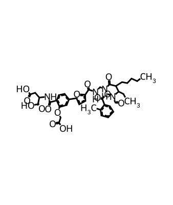 CCCCCC(C(=O)NCNC(=O)c1ccc(-c2ccc(C(=O)NC(CC(=O)O)C(=O)O)c(OCC(=O)O)c2)o1)C(CC)N(C=O)OC(=O)c1ccccc1C